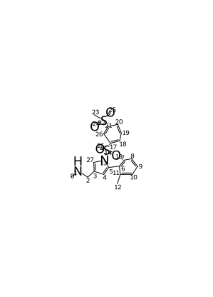 CNCc1cc(-c2ccccc2C)n(S(=O)(=O)c2cccc(S(C)(=O)=O)c2)c1